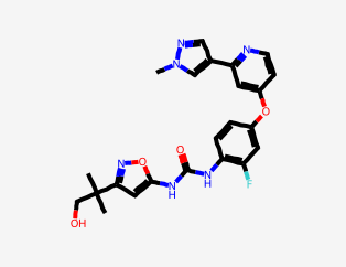 Cn1cc(-c2cc(Oc3ccc(NC(=O)Nc4cc(C(C)(C)CO)no4)c(F)c3)ccn2)cn1